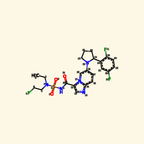 CCN(CCF)S(=O)(=O)NC(=O)c1cnc2ccc(N3CCCC3c3cc(F)ccc3F)cn12